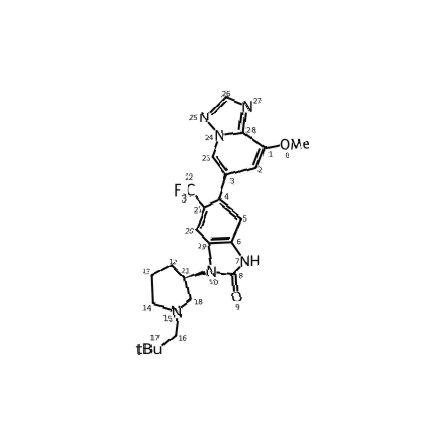 COc1cc(-c2cc3[nH]c(=O)n([C@@H]4CCCN(CC(C)(C)C)C4)c3cc2C(F)(F)F)cn2ncnc12